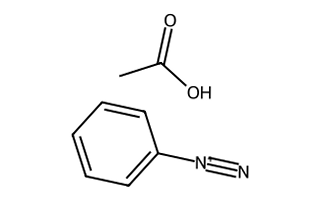 CC(=O)O.N#[N+]c1ccccc1